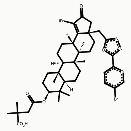 CC(C)C1=C2[C@H]3CC[C@@H]4[C@@]5(C)CC[C@H](OC(=O)CC(C)(C)C(=O)O)C(C)(C)[C@@H]5CC[C@@]4(C)[C@]3(C)CC[C@@]2(Cc2nnc(-c3ccc(Br)cn3)o2)CC1=O